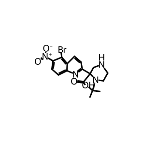 CC(C)(C)N1CCNCC1(C(=O)O)c1ccc2c(Br)c([N+](=O)[O-])ccc2n1